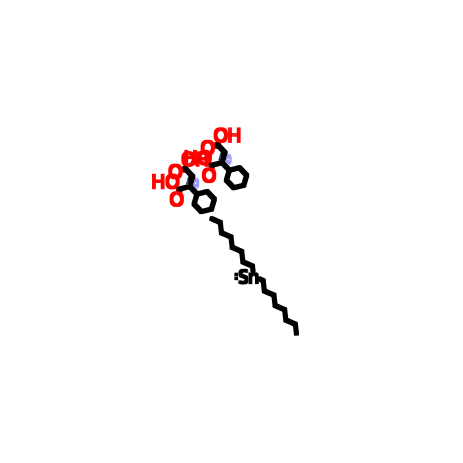 CCCCCCC[CH2][Sn][CH2]CCCCCCC.O=C(O)/C=C(\C(=O)O)C1CCCCC1.O=C(O)/C=C(\C(=O)O)C1CCCCC1